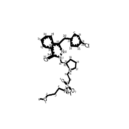 COCCCNS(=O)(=O)CCN1CCC[C@@H]1Cn1nc(Cc2ccc(Cl)cc2)c2ccccc2c1=O